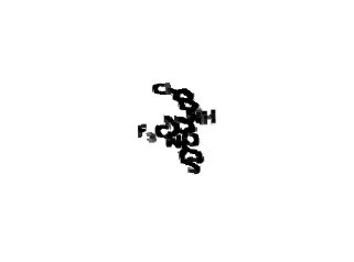 CN(C(=O)C1CCSCC1)C(c1ccc(N[C@H]2Cc3ccc(Cl)cc3C2)cn1)C(F)(F)F